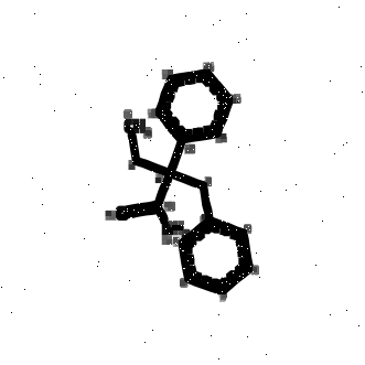 CCC(Cc1ccccc1)(C(N)=O)c1ccccc1